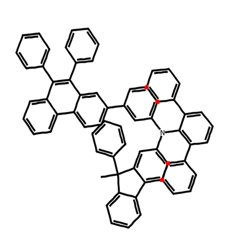 CC1(c2ccccc2)c2ccccc2-c2ccc(N(c3cccc(-c4ccc5c(c4)c(-c4ccccc4)c(-c4ccccc4)c4ccccc45)c3)c3c(-c4ccccc4)cccc3-c3ccccc3)cc21